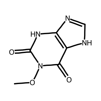 COn1c(=O)[nH]c2nc[nH]c2c1=O